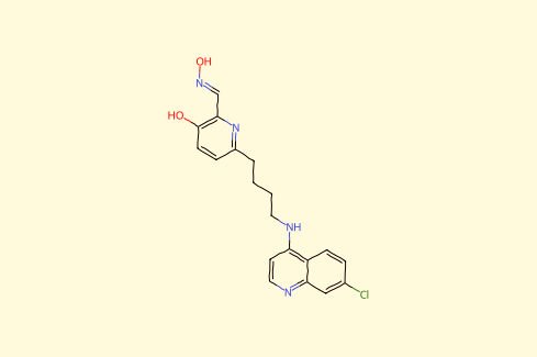 O/N=C/c1nc(CCCCNc2ccnc3cc(Cl)ccc23)ccc1O